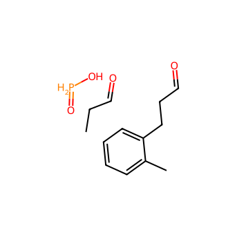 CCC=O.Cc1ccccc1CCC=O.O=[PH2]O